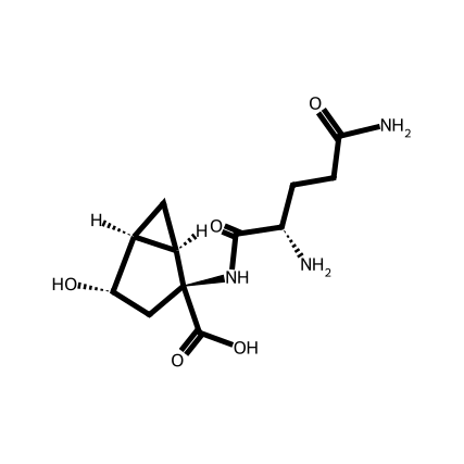 NC(=O)CC[C@H](N)C(=O)N[C@@]1(C(=O)O)C[C@H](O)[C@H]2C[C@H]21